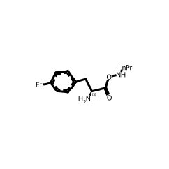 CCCNOC(=O)[C@@H](N)Cc1ccc(CC)cc1